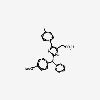 COc1ccc(C(c2ccccc2)c2nc(-c3ccc(F)cc3)c(CC(=O)O)s2)cc1